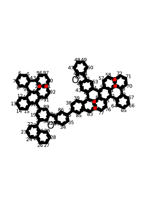 c1ccc(-c2ccccc2-c2c3ccccc3c(-c3cc(-c4cccc5ccccc45)c4oc5ccc(-c6ccc7c(-c8cc9oc%10ccccc%10c9cc8-c8c9ccccc9c(-c9ccccc9-c9ccccc9)c9ccccc89)cccc7c6)cc5c4c3)c3ccccc23)cc1